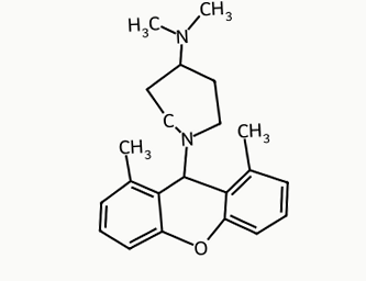 Cc1cccc2c1C(N1CCC(N(C)C)CC1)c1c(C)cccc1O2